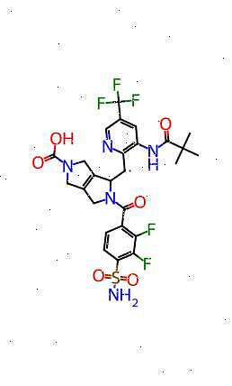 CC(C)(C)C(=O)Nc1cc(C(F)(F)F)cnc1[CH]C1C2=C(CN(C(=O)O)C2)CN1C(=O)c1ccc(S(N)(=O)=O)c(F)c1F